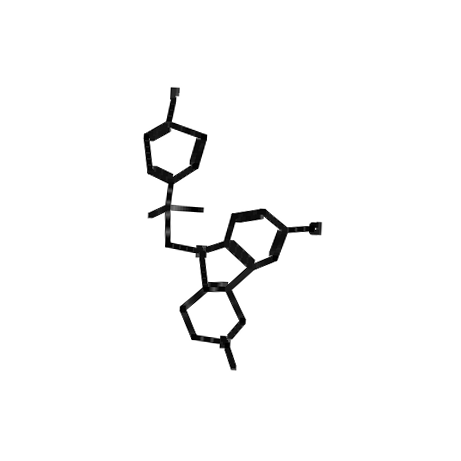 CN1CCc2c(c3cc(Cl)ccc3n2CC(C)(C)c2ccc(F)cc2)C1